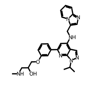 CNCC(O)COc1cccc(-c2cc(NCc3cnc4ccccn34)c3cnn(C(C)C)c3n2)c1